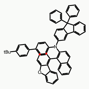 CC(C)(C)c1ccc(-c2ccc(N(c3ccc4c(c3)-c3ccccc3C4(c3ccccc3)c3ccccc3)c3ccc4ccccc4c3-c3cccc4oc5ccccc5c34)cc2)cc1